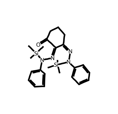 C[Si](C)(C)N(/N=C1/CCCC(=O)/C1=N\N(c1ccccc1)[Si](C)(C)C)c1ccccc1